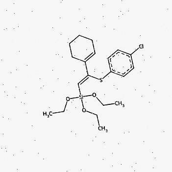 CCO[Si](/C=C(\Sc1ccc(Cl)cc1)C1=CCCCC1)(OCC)OCC